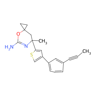 CC#Cc1cccc(-c2csc(C3(C)CC4(CC4)OC(N)=N3)c2)c1